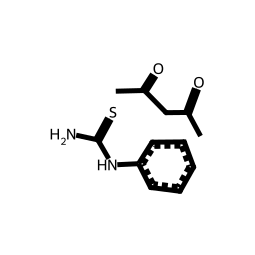 CC(=O)CC(C)=O.NC(=S)Nc1ccccc1